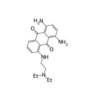 CCN(CC)CCNc1cccc2c1C(=O)c1c(N)ccc(N)c1C2=O